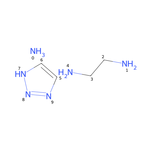 N.NCCN.c1c[nH]nn1